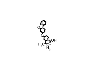 CC(C)C1CC(Oc2ccn(-c3ccccn3)c(=O)c2)CCN1C(=O)O